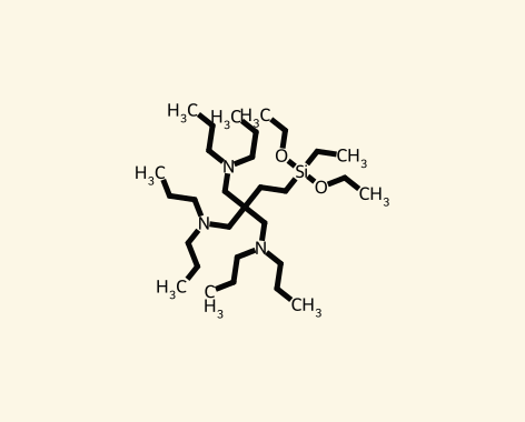 CCCN(CCC)CC(CC[Si](CC)(OCC)OCC)(CN(CCC)CCC)CN(CCC)CCC